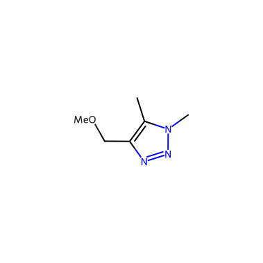 COCc1nnn(C)c1C